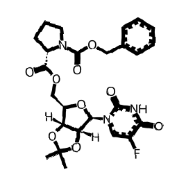 CC1(C)O[C@@H]2[C@H](O1)[C@@H](COC(=O)[C@@H]1CCCN1C(=O)OCc1ccccc1)O[C@H]2n1cc(F)c(=O)[nH]c1=O